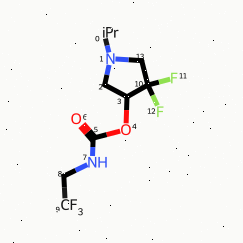 CC(C)N1CC(OC(=O)NCC(F)(F)F)C(F)(F)C1